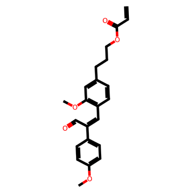 C=CC(=O)OCCCc1ccc(/C=C(\C=O)c2ccc(OC)cc2)c(OC)c1